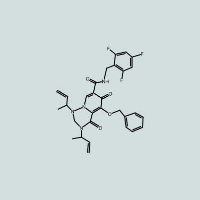 C=CC(C)N1CN(C(C)C=C)n2cc(C(=O)NCc3c(F)cc(F)cc3F)c(=O)c(OCc3ccccc3)c2C1=O